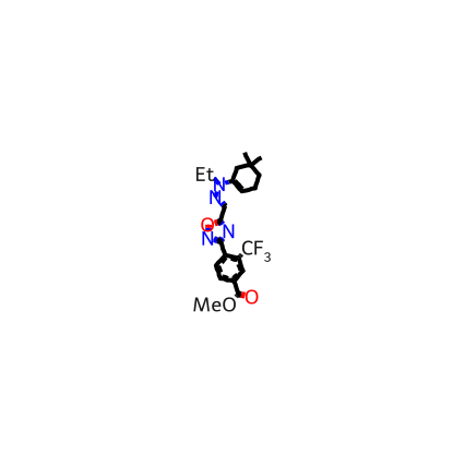 CCN(/N=C/c1nc(-c2ccc(C(=O)OC)cc2C(F)(F)F)no1)C1=CCCC(C)(C)C1